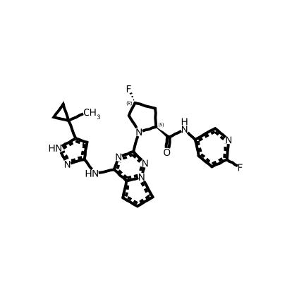 CC1(c2cc(Nc3nc(N4C[C@H](F)C[C@H]4C(=O)Nc4ccc(F)nc4)nn4cccc34)n[nH]2)CC1